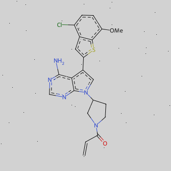 C=CC(=O)N1CCC(n2cc(-c3cc4c(Cl)ccc(OC)c4s3)c3c(N)ncnc32)C1